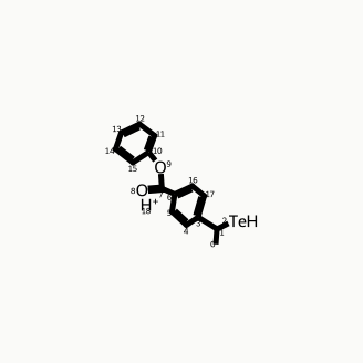 CC([TeH])c1ccc(C(=O)Oc2ccccc2)cc1.[H+]